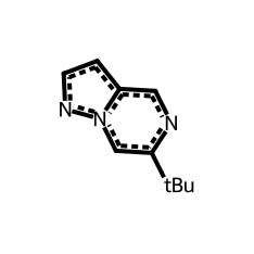 CC(C)(C)c1cn2nccc2cn1